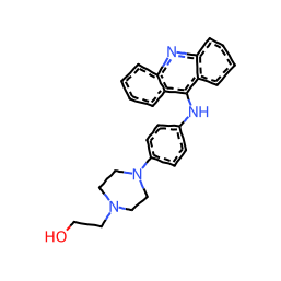 OCCN1CCN(c2ccc(Nc3c4ccccc4nc4ccccc34)cc2)CC1